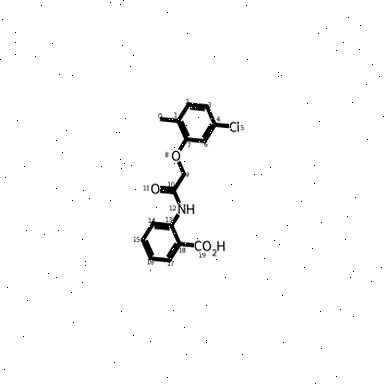 Cc1ccc(Cl)cc1OCC(=O)Nc1ccccc1C(=O)O